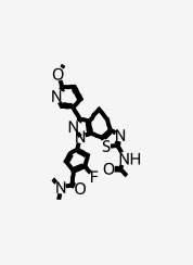 COc1ccc(-c2nn(-c3ccc(C(=O)N(C)C)c(F)c3)c3c2CCc2nc(NC(C)=O)sc2-3)cn1